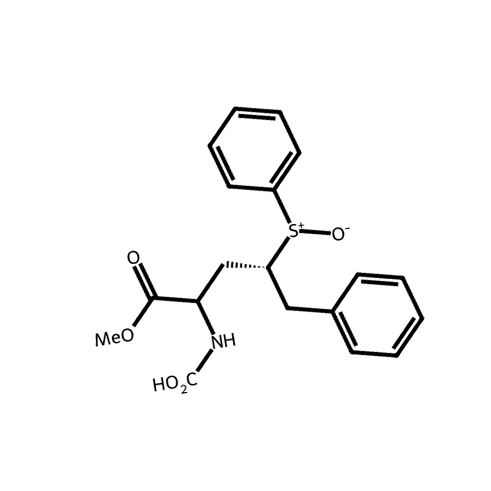 COC(=O)C(C[C@@H](Cc1ccccc1)[S+]([O-])c1ccccc1)NC(=O)O